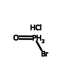 Cl.O=[PH2]Br